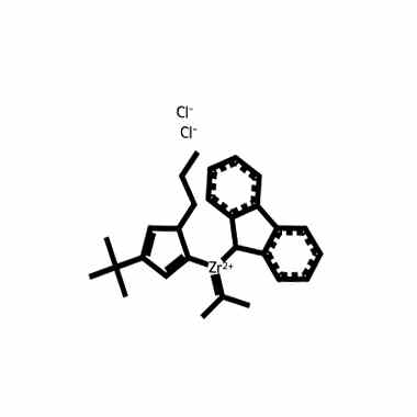 CCCC1C=C(C(C)(C)C)C=[C]1[Zr+2](=[C](C)C)[CH]1c2ccccc2-c2ccccc21.[Cl-].[Cl-]